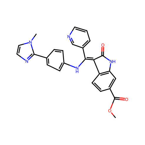 COC(=O)c1ccc2c(c1)NC(=O)C2=C(Nc1ccc(-c2nccn2C)cc1)c1cccnc1